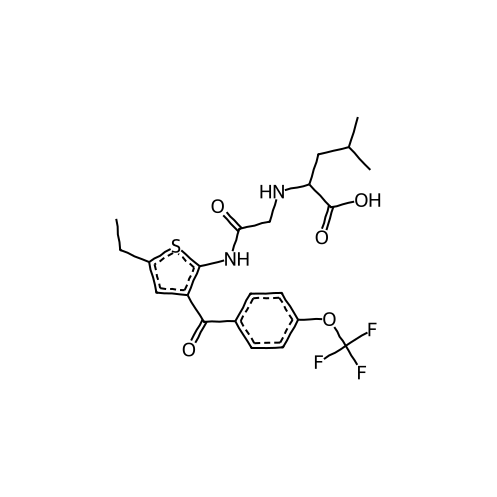 CCc1cc(C(=O)c2ccc(OC(F)(F)F)cc2)c(NC(=O)CNC(CC(C)C)C(=O)O)s1